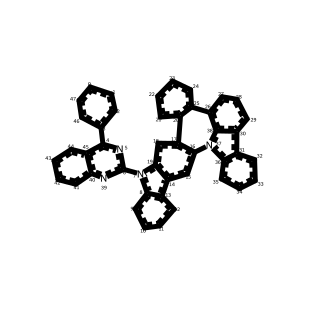 c1ccc(-c2nc(-n3c4ccccc4c4cc5c(cc43)-c3ccccc3-c3cccc4c6ccccc6n-5c34)nc3ccccc23)cc1